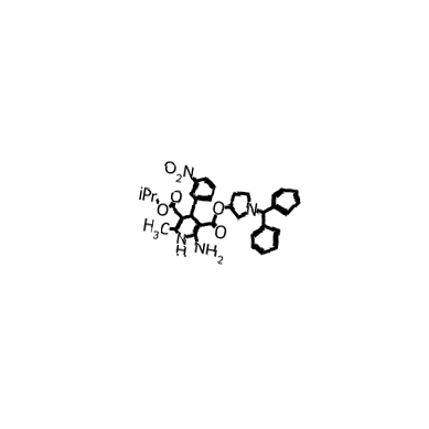 CC1=C(C(=O)OC(C)C)C(c2cccc([N+](=O)[O-])c2)C(C(=O)OC2CCN(C(c3ccccc3)c3ccccc3)C2)=C(N)N1